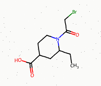 CCC1CC(C(=O)O)CCN1C(=O)CBr